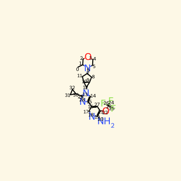 CC1COCCN1C1CC2C(C1)C2n1cc(-c2cnc(N)c(OC(F)(F)F)c2)nc1C1CC1